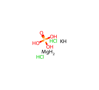 Cl.Cl.O=P(O)(O)O.[KH].[MgH2]